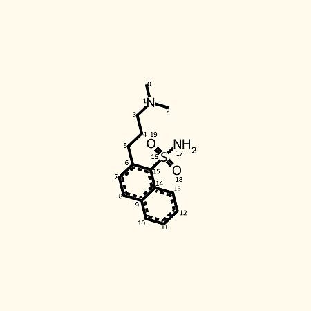 CN(C)CCCc1ccc2ccccc2c1S(N)(=O)=O